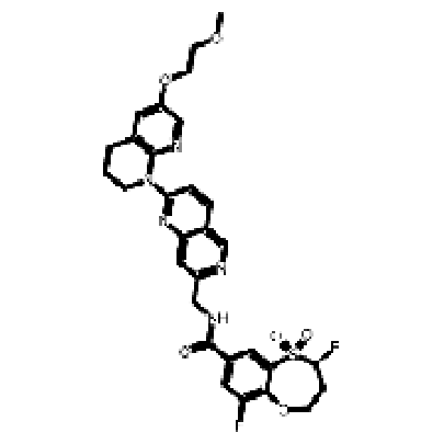 COCCOc1cnc2c(c1)CCCN2c1ccc2cnc(CNC(=O)c3cc(F)c4c(c3)S(=O)(=O)[C@@H](F)CCO4)cc2n1